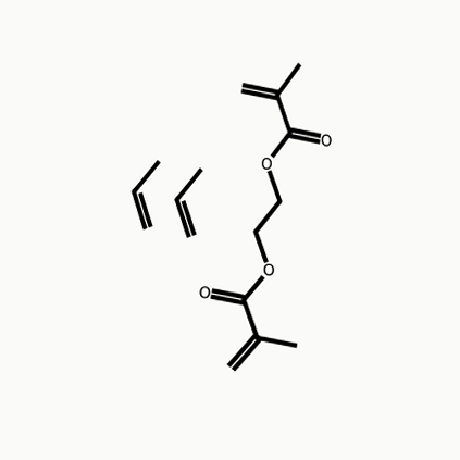 C=C(C)C(=O)OCCOC(=O)C(=C)C.C=CC.C=CC